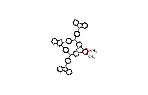 Cc1ccc(-c2ccc(N(c3ccc(-c4nc5ccccc5nc4-c4ccc(N(c5ccc(-n6c7ccccc7c7ccccc76)cc5)c5ccc(-c6ccc(C)cc6)nc5)cc4)cc3)c3ccc(-n4c5ccccc5c5ccccc54)cc3)cn2)cc1